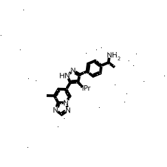 Cc1cc(-c2[nH]nc(-c3ccc(C(C)N)cc3)c2C(C)C)cn2ncnc12